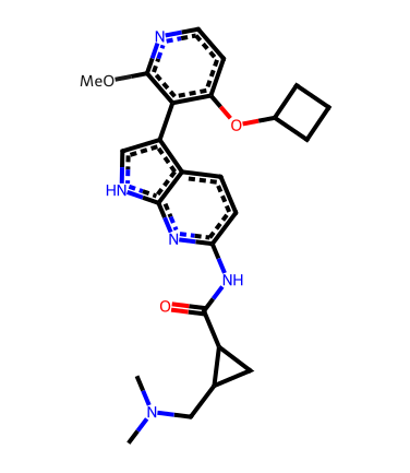 COc1nccc(OC2CCC2)c1-c1c[nH]c2nc(NC(=O)C3CC3CN(C)C)ccc12